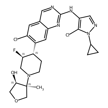 C[C@]1(N2CC[C@@H](c3cc4nc(Nc5cnn(C6CC6)c5Cl)ncc4cc3Cl)[C@H](F)C2)COC[C@H]1O